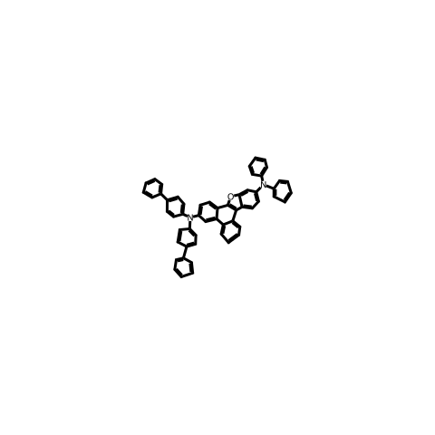 c1ccc(-c2ccc(N(c3ccc(-c4ccccc4)cc3)c3ccc4c(c3)c3ccccc3c3c5ccc(N(c6ccccc6)c6ccccc6)cc5oc43)cc2)cc1